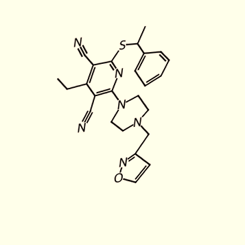 CCc1c(C#N)c(SC(C)c2ccccc2)nc(N2CCN(Cc3ccon3)CC2)c1C#N